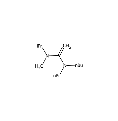 C=C(N(CCC)CCCC)N(C)C(C)C